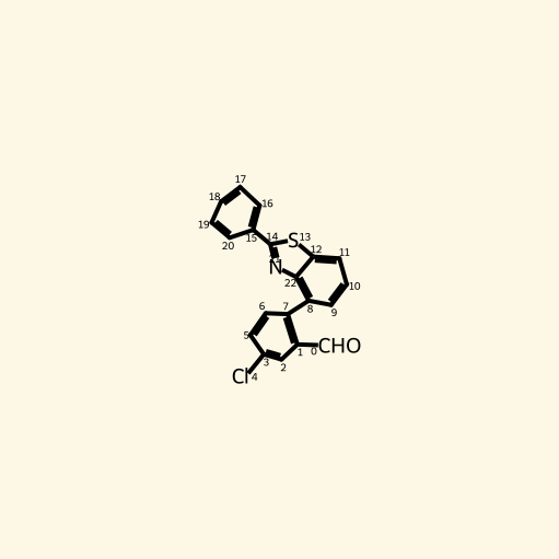 O=Cc1cc(Cl)ccc1-c1cccc2sc(-c3ccccc3)nc12